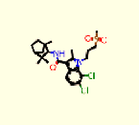 Cc1c(C(=O)NC2C3(C)CCC(C3)C2(C)C)c2ccc(Cl)c(Cl)c2n1CCCS(C)(=O)=O